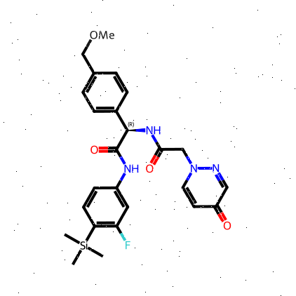 COCc1ccc([C@@H](NC(=O)Cn2ccc(=O)cn2)C(=O)Nc2ccc([Si](C)(C)C)c(F)c2)cc1